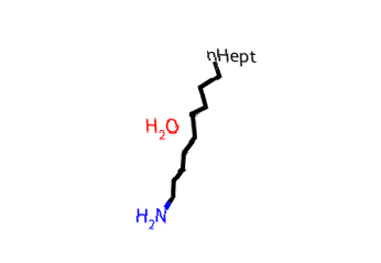 CCCCCCCCCCCCCCCCN.O